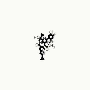 CCOc1c(CC(N)=O)cc([C@@](O)(CNC(=O)c2ccn3nc(C4CC4)cc3c2)C2CC2)nc1-c1ccc(F)c(Cl)c1